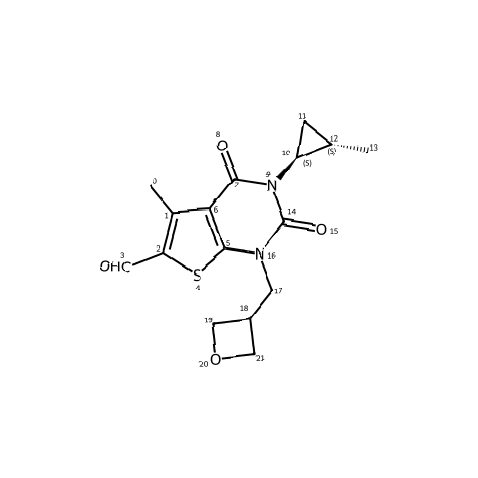 Cc1c(C=O)sc2c1c(=O)n([C@H]1C[C@@H]1C)c(=O)n2CC1COC1